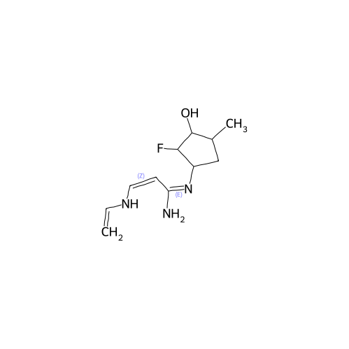 C=CN/C=C\C(N)=N/C1CC(C)C(O)C1F